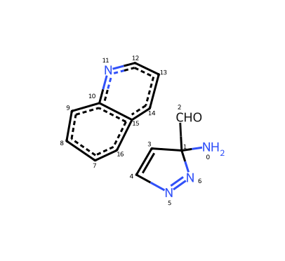 NC1(C=O)C=CN=N1.c1ccc2ncccc2c1